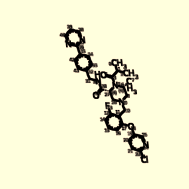 CC(C)C(=O)N1[C@H](C)CN(Cc2c(F)cccc2Oc2ccc(Cl)nc2)C[C@@H]1C(=O)NCc1ccc(-c2ncccn2)cc1